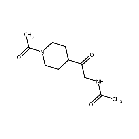 CC(=O)NCC(=O)C1CCN(C(C)=O)CC1